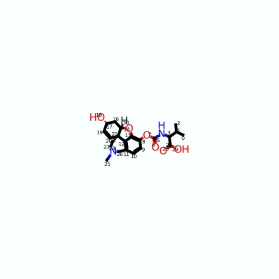 CC(C)C(NC(=O)Oc1ccc2c3c1O[C@H]1C[C@@H](O)C=C[C@@]31CCN(C)C2)C(=O)O